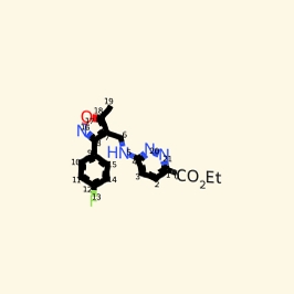 CCOC(=O)c1ccc(NCc2c(-c3ccc(F)cc3)noc2C)nn1